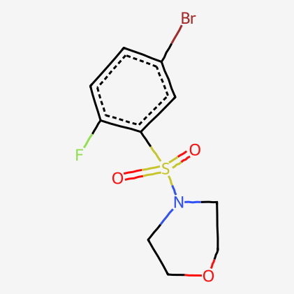 O=S(=O)(c1cc(Br)ccc1F)N1CCOCC1